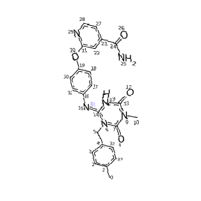 Cc1ccc(Cn2c(=O)n(C)c(=O)[nH]/c2=N\c2ccc(Oc3cc(C(N)=O)ccn3)cc2)cc1